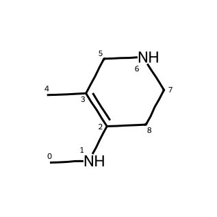 CNC1=C(C)CNCC1